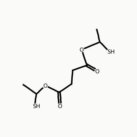 CC(S)OC(=O)CCC(=O)OC(C)S